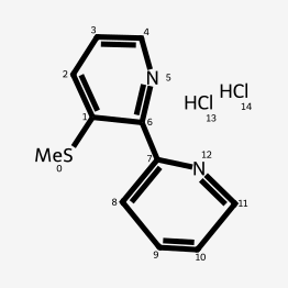 CSc1cccnc1-c1ccccn1.Cl.Cl